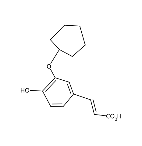 O=C(O)C=Cc1ccc(O)c(OC2CCCCC2)c1